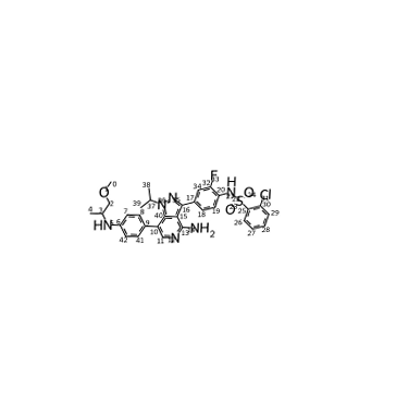 COCC(C)Nc1ccc(-c2cnc(N)c3c(-c4ccc(NS(=O)(=O)c5ccccc5Cl)c(F)c4)nn(C(C)C)c23)cc1